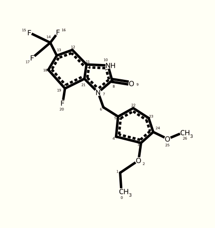 CCOc1cc(Cn2c(=O)[nH]c3cc(C(F)(F)F)cc(F)c32)ccc1OC